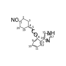 N#CC1CCC(=CCOc2ccccc2-c2c[nH]cn2)CC1